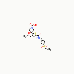 CCS(=O)(=O)c1ccc(CNC(=O)c2cc3c(s2)C2(CCN(C(=O)O)CC2)OC(C)C3)cc1